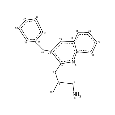 CC(CN)Cc1nc2ccccc2cc1Cc1ccccc1